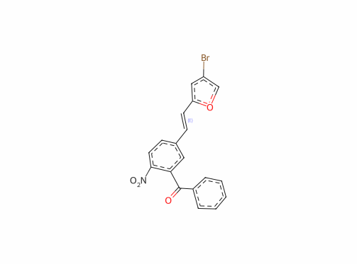 O=C(c1ccccc1)c1cc(/C=C/c2cc(Br)co2)ccc1[N+](=O)[O-]